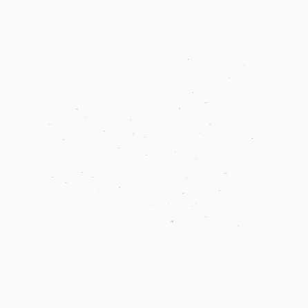 c1ccc2c(c1)-c1ccccc1C21c2ccccc2-c2cc(-c3cc(-c4ccc5c(c4)C4(c6ccccc6-c6ccccc64)c4ccccc4-5)nc(-c4ccc5c(c4)C4(c6ccccc6-c6ccccc64)c4ccccc4-5)n3)ccc21